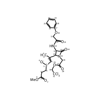 COC(=O)CC[S+]([O-])C=C(C)C1C(NC(=O)COc2ccccc2)C(=O)N1CC(=O)OCC(Cl)(Cl)Cl